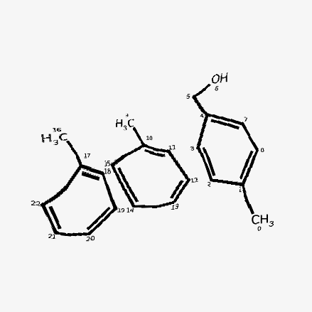 Cc1ccc(CO)cc1.Cc1ccccc1.Cc1ccccc1